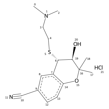 CN(C)CCS[C@H]1c2cc(C#N)ccc2OC(C)(C)[C@@H]1O.Cl